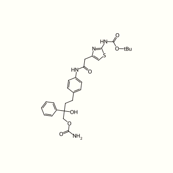 CC(C)(C)OC(=O)Nc1nc(CC(=O)Nc2ccc(CCC(O)(COC(N)=O)c3ccccc3)cc2)cs1